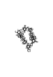 Cc1cc(C)c(C)c(S(=O)(=O)N2CCN(c3nc(Cc4ccc(Cl)cc4Cl)cs3)CC2)c1C.Cc1ccc(C)c(Cc2csc(N3CCN(S(=O)(=O)c4c(C)c(C)cc(C)c4C)CC3)n2)c1